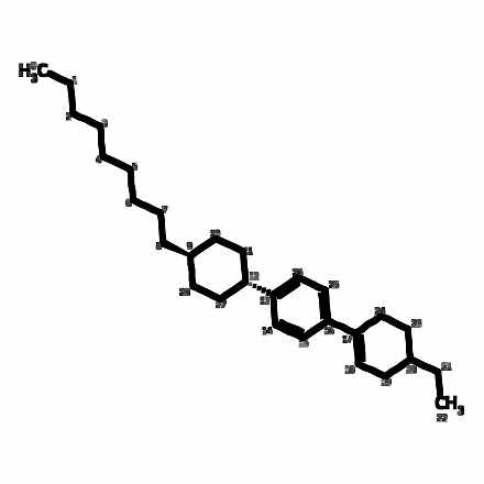 CCCCCCCCC[C@H]1CC[C@H](c2ccc(C3=CCC(CC)CC3)cc2)CC1